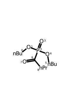 CCCCOP(=O)(OCCCC)C(=O)CCC